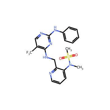 CN(c1cccnc1CNc1nc(Nc2ccccc2)ncc1C(F)(F)F)S(C)(=O)=O